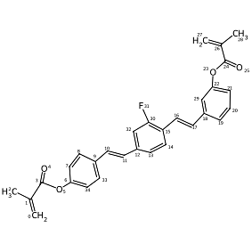 C=C(C)C(=O)Oc1ccc(/C=C/c2ccc(/C=C/c3cccc(OC(=O)C(=C)C)c3)c(F)c2)cc1